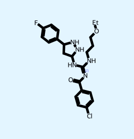 CCOCCCN/C(=N/C(=O)c1ccc(Cl)cc1)NC1CC(c2ccc(F)cc2)NN1